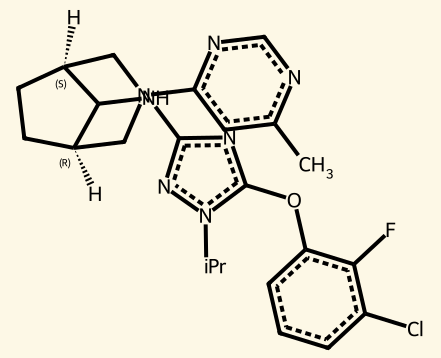 Cc1cc(N2C[C@H]3CC[C@@H](C2)C3Nc2nc(Oc3cccc(Cl)c3F)n(C(C)C)n2)ncn1